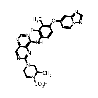 Cc1c(Oc2ccn3ncnc3c2)ccc(Nc2ncnc3cnc(N4CCN(C(=O)O)C(C)C4)nc23)c1F